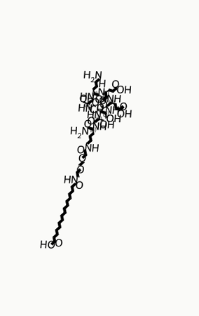 CN[C@@H](CO)C(=O)N[C@@H](CCCCN)C(=O)N[C@@H](CCC(=O)O)C(=O)N[C@@H](CCC(=O)O)C(=O)N[C@@H](CO)C(=O)N[C@@H](CO)C(=O)N[C@@H](CCCCNC(=O)COCCOCCNC(=O)CCCCCCCCCCCCCCCC(=O)O)C(N)=O